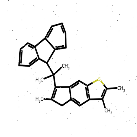 CC1=C(C(C)(C)C2c3ccccc3-c3ccccc32)c2cc3sc(C)c(C)c3cc2C1